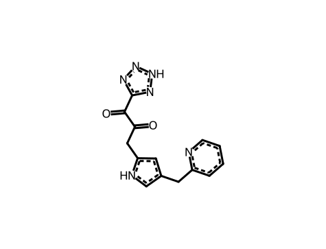 O=C(Cc1cc(Cc2ccccn2)c[nH]1)C(=O)c1nn[nH]n1